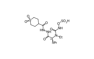 CCC[C@@H](C(=O)NNC(=O)C1CCS(=O)(=O)CC1)N(CC)C(=O)NOS(=O)(=O)O